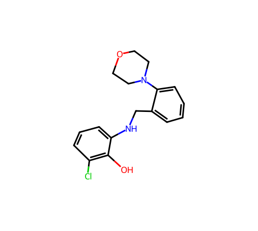 Oc1c(Cl)cccc1NCc1ccccc1N1CCOCC1